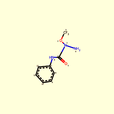 NN(OC(F)(F)F)C(=O)Nc1ccccc1